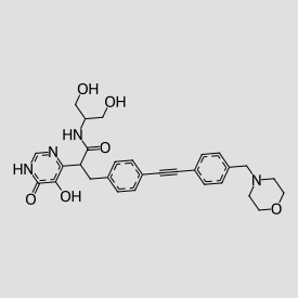 O=C(NC(CO)CO)C(Cc1ccc(C#Cc2ccc(CN3CCOCC3)cc2)cc1)c1nc[nH]c(=O)c1O